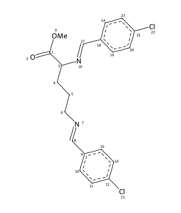 COC(=O)C(CCCN=Cc1ccc(Cl)cc1)N=Cc1ccc(Cl)cc1